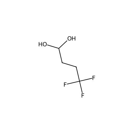 OC(O)CCC(F)(F)F